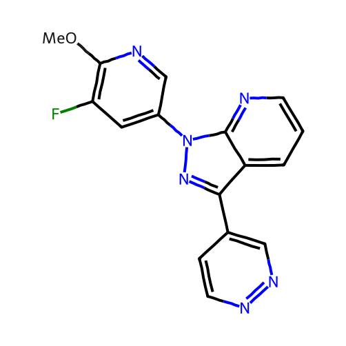 COc1ncc(-n2nc(-c3ccnnc3)c3cccnc32)cc1F